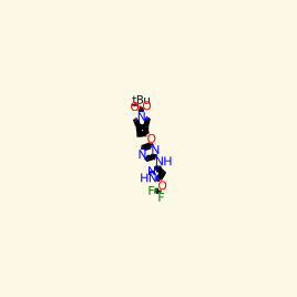 CC(C)(C)OC(=O)N1CC2CC(Oc3cncc(Nc4cc(OC(F)F)[nH]n4)n3)C2C1